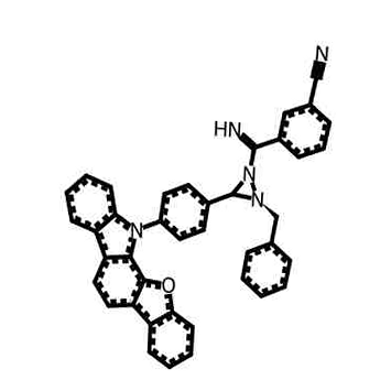 N#Cc1cccc(C(=N)N2C(c3ccc(-n4c5ccccc5c5ccc6c7ccccc7oc6c54)cc3)[N@]2Cc2ccccc2)c1